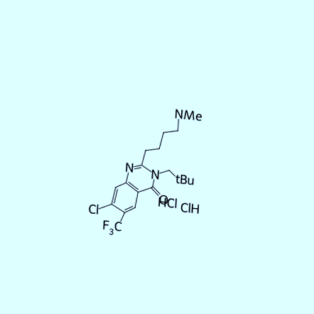 CNCCCCc1nc2cc(Cl)c(C(F)(F)F)cc2c(=O)n1CC(C)(C)C.Cl.Cl